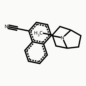 CC1CC2CCC(C1)N2c1ccc(C#N)c2ccccc12